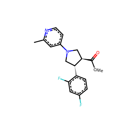 COC(=O)[C@@H]1CN(c2ccnc(C)c2)C[C@H]1c1ccc(F)cc1F